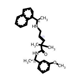 COc1cccc([C@H](C)NC(=O)C(C)(C)/C=C/CN[C@H](C)c2cccc3ccccc23)c1